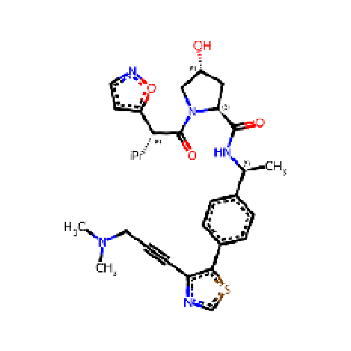 CC(C)[C@@H](C(=O)N1C[C@H](O)C[C@H]1C(=O)N[C@@H](C)c1ccc(-c2scnc2C#CCN(C)C)cc1)c1ccno1